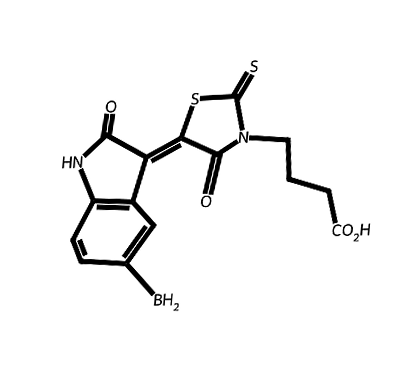 Bc1ccc2c(c1)/C(=C1/SC(=S)N(CCCC(=O)O)C1=O)C(=O)N2